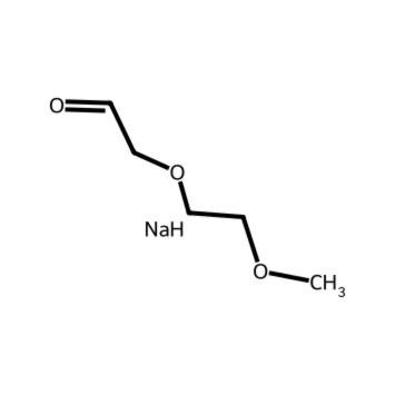 COCCOCC=O.[NaH]